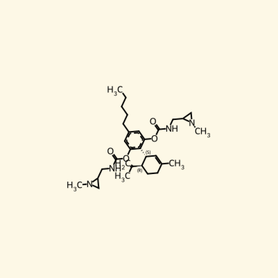 C=C(C)[C@@H]1CCC(C)=C[C@H]1c1c(OC(=O)NCC2CN2C)cc(CCCCC)cc1OC(=O)NCC1CN1C